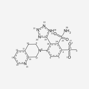 CS(=O)(=O)c1ccc(N2CCc3cccnc3C2)c(-c2nnn[nH]2)c1S(N)(=O)=O